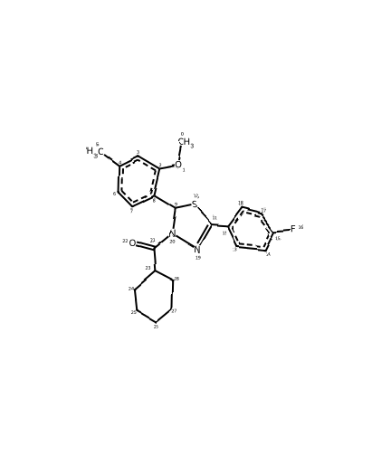 COc1cc(C)ccc1C1SC(c2ccc(F)cc2)=NN1C(=O)C1CCCCC1